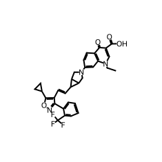 CCn1cc(C(=O)O)c(=O)c2ccc(N3CC4C(/C=C/c5c(-c6ccccc6C(F)(F)F)noc5C5CC5)C4C3)cc21